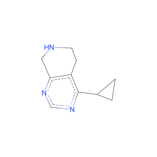 c1nc2c(c(C3CC3)n1)CCNC2